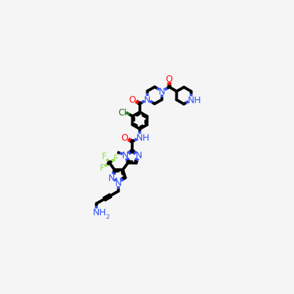 Cn1c(-c2cn(CC#CCN)nc2C(F)(F)F)cnc1C(=O)Nc1ccc(C(=O)N2CCN(C(=O)C3CCNCC3)CC2)c(Cl)c1